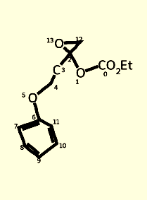 CCOC(=O)OC1(CCOc2ccccc2)CO1